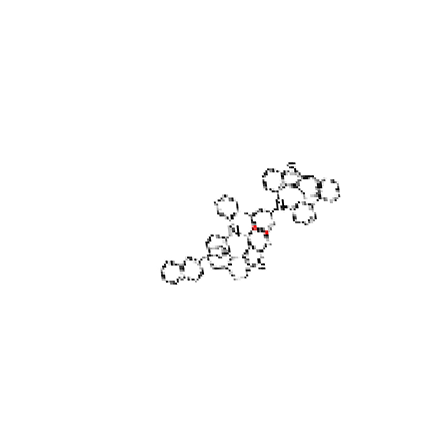 c1ccc(-c2cccc(N(c3cccc(-c4ccccc4N(c4ccc(-c5ccc6ccccc6c5)cc4)c4cccc5sc6ccc7ccccc7c6c45)c3)c3cccc4sc5ccccc5c34)c2)cc1